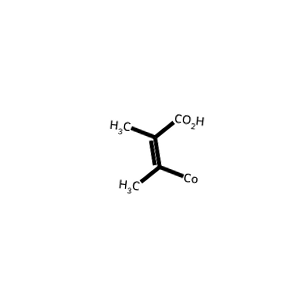 C[C]([Co])=C(C)C(=O)O